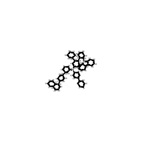 c1ccc(-c2ccc(N(c3cccc(-c4ccc(-c5cccc6ccccc56)cc4)c3)c3ccc(-c4ccccc4-n4c5ccccc5c5ccccc54)c(-c4ccccc4)c3)cc2)cc1